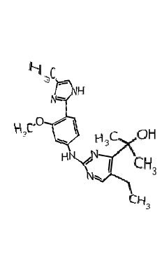 CCc1cnc(Nc2ccc(-c3nc(C)c[nH]3)c(OC)c2)nc1C(C)(C)O